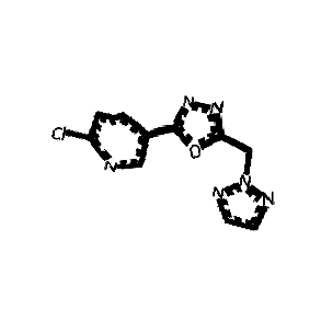 Clc1ccc(-c2nnc(Cn3nccn3)o2)cn1